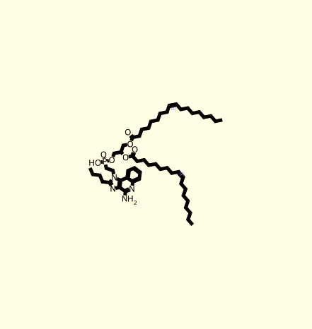 CCCCCCCC/C=C\CCCCCCCC(=O)OCC(COP(=O)(O)CCn1c(CCCC)nc2c(N)nc3ccccc3c21)OC(=O)CCCCCCC/C=C\CCCCCCCC